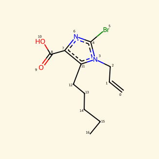 C=CCn1c(Br)nc(C(=O)O)c1CCCCC